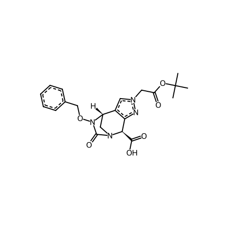 CC(C)(C)OC(=O)Cn1cc2c(n1)[C@@H](C(=O)O)N1C[C@@H]2N(OCc2ccccc2)C1=O